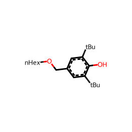 CCCCCCOCc1cc(C(C)(C)C)c(O)c(C(C)(C)C)c1